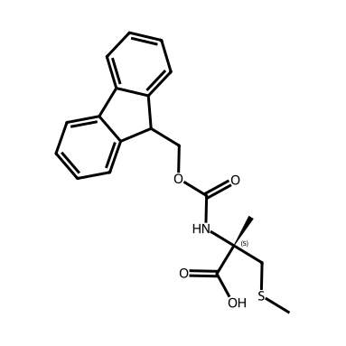 CSC[C@@](C)(NC(=O)OCC1c2ccccc2-c2ccccc21)C(=O)O